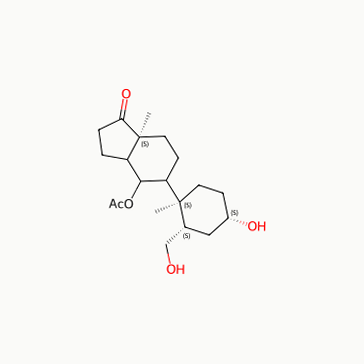 CC(=O)OC1C2CCC(=O)[C@@]2(C)CCC1[C@@]1(C)CC[C@H](O)C[C@@H]1CO